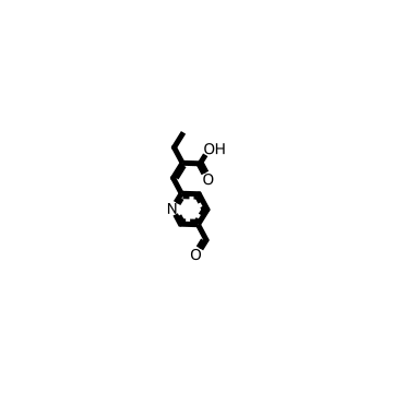 CCC(=Cc1ccc(C=O)cn1)C(=O)O